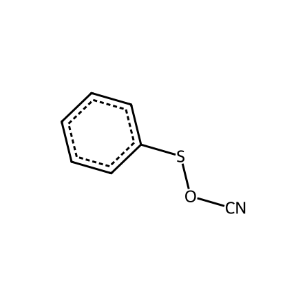 N#COSc1ccccc1